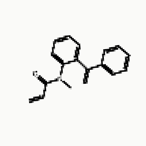 C=CC(=O)N(C)c1ccccc1C(=C)c1ccccc1